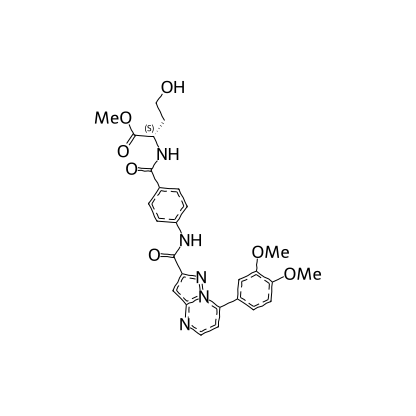 COC(=O)[C@H](CCO)NC(=O)c1ccc(NC(=O)c2cc3nccc(-c4ccc(OC)c(OC)c4)n3n2)cc1